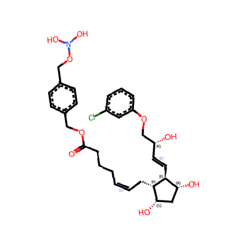 O=C(CCC/C=C\C[C@@H]1[C@@H](/C=C/[C@@H](O)COc2cccc(Cl)c2)[C@H](O)C[C@@H]1O)OCc1ccc(CON(O)O)cc1